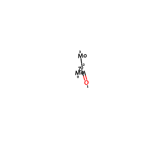 [Mo].[O]=[Zr][Mo]